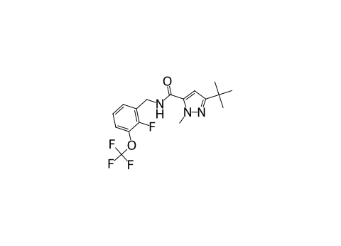 Cn1nc(C(C)(C)C)cc1C(=O)NCc1cccc(OC(F)(F)F)c1F